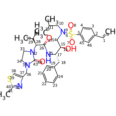 C=Cc1ccc(S(=O)(=O)N(CC(C)C)C[C@@H](O)[C@H](Cc2ccccc2)NC(=O)[C@H](C(C)C)N2CCN(Cc3csc(C)n3)C2=O)cc1